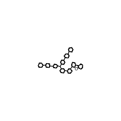 c1ccc(-c2ccc(-c3ccc(C(c4ccc(-c5ccc(-c6ccccc6)cc5)cc4)c4cccc(-c5cccc(-c6cccc7c6oc6ccccc67)c5)c4)cc3)cc2)cc1